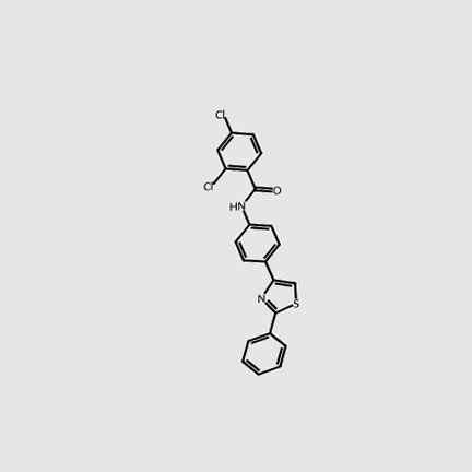 O=C(Nc1ccc(-c2csc(-c3ccccc3)n2)cc1)c1ccc(Cl)cc1Cl